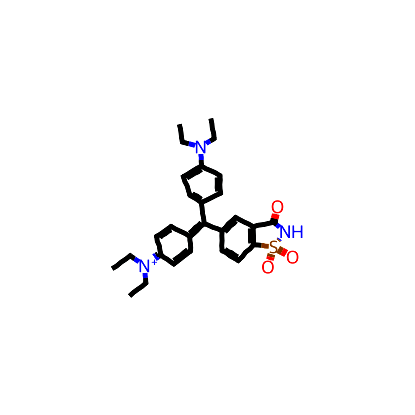 CCN(CC)c1ccc(C(=C2C=CC(=[N+](CC)CC)C=C2)c2ccc3c(c2)C(=O)NS3(=O)=O)cc1